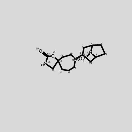 CCOC(=O)N1C2CCC1CC(N1CCCC3(CC1)CNC(=O)O3)C2